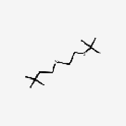 CC(C)(C)CCSCCSC(C)(C)C